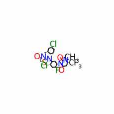 Cn1c(C(F)(F)F)cc(=O)n(-c2cc(/N=C3\SCC(=O)N3Cc3cccc(Cl)c3)c(Cl)cc2F)c1=O